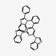 c1ccc(-c2nc3ccccc3n2-c2ccccc2-c2cc(-n3cnc4ccccc43)nc(-n3cnc4ccccc43)c2)cc1